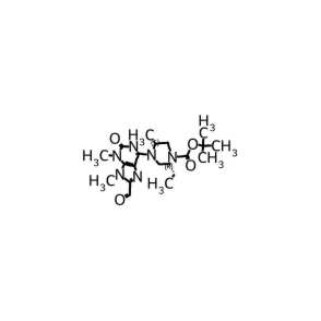 CC[C@@H]1CN(c2nc(=O)n(C)c3c2nc(C=O)n3C)[C@@H](C)CN1C(=O)OC(C)(C)C